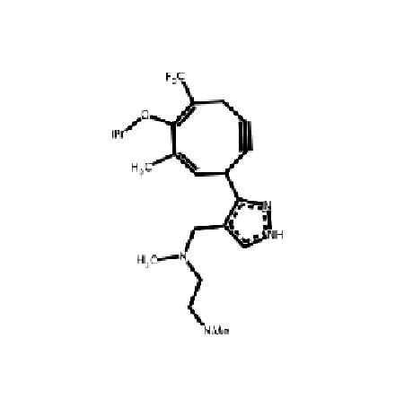 CNCCN(C)Cc1c[nH]nc1C1C#CC/C(C(F)(F)F)=C(OC(C)C)\C(C)=C/1